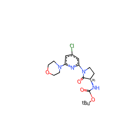 CC(C)(C)OC(=O)N[C@@H]1CCN(c2cc(Cl)cc(N3CCOCC3)n2)C1=O